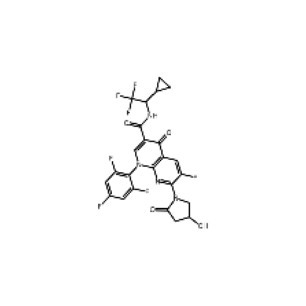 O=C(NC(C1CC1)C(F)(F)F)c1cn(-c2c(F)cc(F)cc2F)c2nc(N3CC(O)CC3=O)c(F)cc2c1=O